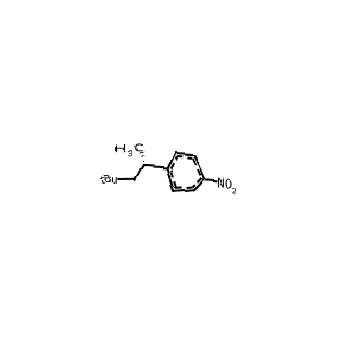 C[C@@H](CC(C)(C)C)c1ccc([N+](=O)[O-])cc1